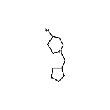 [2H]C1CCN(CC2CCCC2)CC1